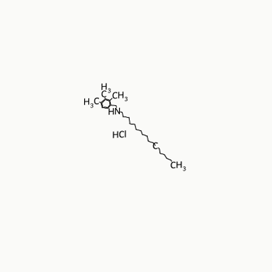 CCCCCCCCCCCCCCCCCCNCc1ccc(C)c(C)c1C.Cl